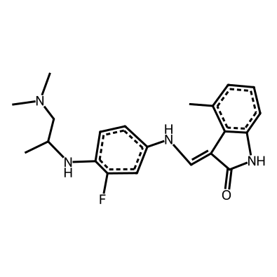 Cc1cccc2c1/C(=C\Nc1ccc(NC(C)CN(C)C)c(F)c1)C(=O)N2